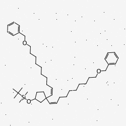 CC(C)(C)[Si](C)(C)OC1CCC(/C=C\CCCCCCCCOCc2ccccc2)(/C=C\CCCCCCCCOCc2ccccc2)C1